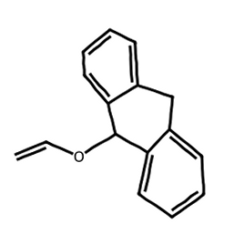 C=COC1c2ccccc2Cc2ccccc21